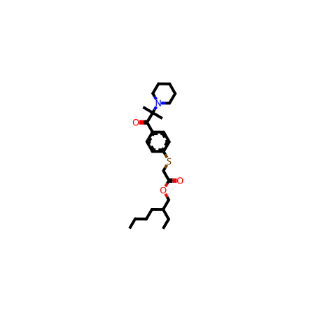 CCCCC(CC)COC(=O)CSc1ccc(C(=O)C(C)(C)N2CCCCC2)cc1